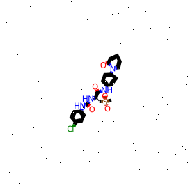 CS(=O)(=O)C[C@H](NC(=O)Nc1ccc(Cl)cc1)C(=O)Nc1ccc(-n2ccccc2=O)cc1